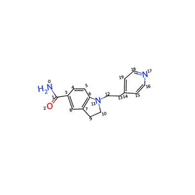 NC(=O)c1ccc2c(c1)CCN2CCc1ccncc1